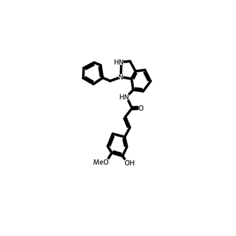 COc1ccc(C=CC(=O)Nc2cccc3c2N(Cc2ccccc2)NC3)cc1O